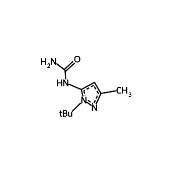 Cc1cc(NC(N)=O)n(C(C)(C)C)n1